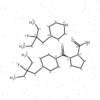 CCC(F)(CC)CN1CCN(C(=O)[C@@H]2CCCN2C(=O)O)CC1.CCC(F)(CC)CN1CCNCC1